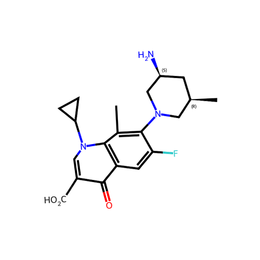 Cc1c(N2C[C@H](C)C[C@H](N)C2)c(F)cc2c(=O)c(C(=O)O)cn(C3CC3)c12